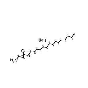 CCCCCCCCCCCCCCCOC(=O)CCN.[NaH]